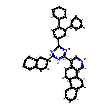 c1ccc(-c2ccc(-c3nc(-c4ccc5ccccc5c4)nc(-c4cncc5c4ccc4c6ccccc6ccc54)n3)cc2-c2ccccc2)cc1